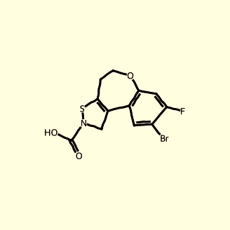 O=C(O)N1CC2=C(CCOc3cc(F)c(Br)cc32)S1